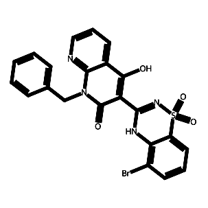 O=c1c(C2=NS(=O)(=O)c3cccc(Br)c3N2)c(O)c2cccnc2n1Cc1ccccc1